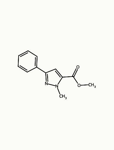 COC(=O)c1cc(-c2ccccc2)nn1C